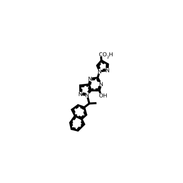 CC(c1ccc2ccccc2c1)n1ncc2nc(-n3cc(C(=O)O)cn3)nc(O)c21